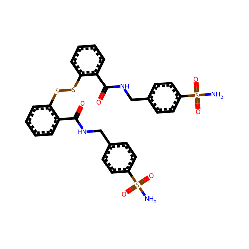 NS(=O)(=O)c1ccc(CNC(=O)c2ccccc2SSc2ccccc2C(=O)NCc2ccc(S(N)(=O)=O)cc2)cc1